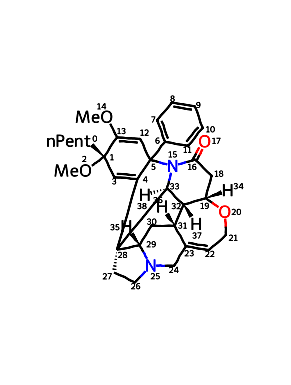 CCCCC[C@]1(OC)C=C2C(c3ccccc3)(C=C1OC)N1C(=O)C[C@@H]3OCC=C4CN5CC[C@]26[C@@H]5C[C@@H]4[C@@H]3[C@H]16